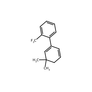 CC1(C)C=C(c2ccccc2C(F)(F)F)C=CC1